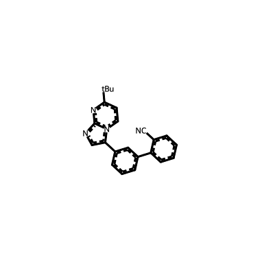 CC(C)(C)c1ccn2c(-c3cccc(-c4ccccc4C#N)c3)cnc2n1